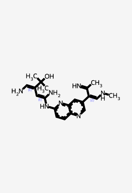 CN/C=C(\C(C)=N)c1cnc2ccc(N/C(N)=C/C(=C\N)C(C)(C)O)nc2c1